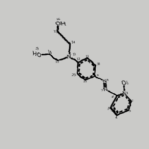 [O-][n+]1ccccc1N=Nc1ccc(N(CCO)CCO)cc1